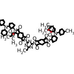 C=Cc1nc(-n2c(=O)c3cc4c(=O)n(-c5cccc(N(c6ccccc6)c6ccccc6)c5OC(=O)C(=C)C)c(=O)c4cc3c2=O)nc(-n2c(=O)c3cc4c(=O)n(-c5cccc(N(c6ccc(C)cc6)c6ccc(C)cc6)c5OC(=O)C(=C)C)c(=O)c4cc3c2=O)n1